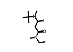 CCN(C)C(=O)CC(I)N(C)C(C)(C)C